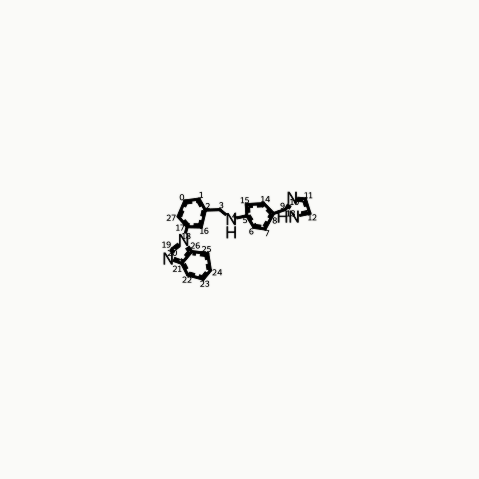 c1cc(CNc2ccc(-c3ncc[nH]3)cc2)cc(-n2cnc3ccccc32)c1